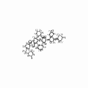 CC1(C)c2ccccc2-c2c1ccc1c2Oc2c(cccc2-c2ccccc2-c2cc(-c3ccc(-c4ccccc4)c4ccccc34)nc(-c3ccccc3)n2)O1